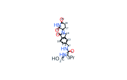 CC(C)C(NC(=O)O)C(=O)NCc1ccc2c(c1)CN(C1CCC(=O)NC1=O)C2=O